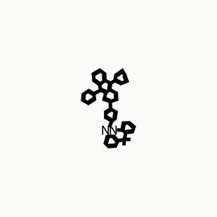 CC1(C)c2ccccc2-n2c(-c3ccc(-c4ccc5c(-c6ccccc6)c6ccccc6c(-c6ccccc6)c5c4)cc3)nc3cccc1c32